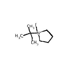 CC(C)(C)[N+]1(I)CCCC1